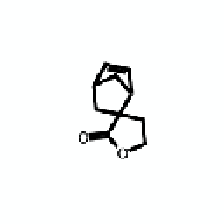 O=C1OCCC12CC1C=CC2C1